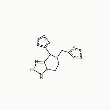 c1csc(CN2CCN3NNN=C3C2c2cccs2)c1